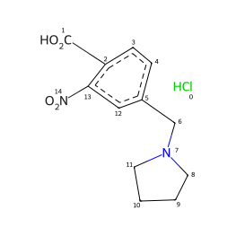 Cl.O=C(O)c1ccc(CN2CCCC2)cc1[N+](=O)[O-]